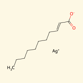 CCCCCCCCC=CC(=O)[O-].[Ag+]